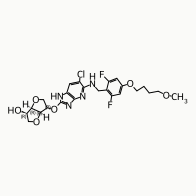 COCCCCOc1cc(F)c(CNc2nc3nc(O[C@@H]4CO[C@H]5[C@@H]4OC[C@H]5O)[nH]c3cc2Cl)c(F)c1